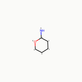 [NH]C1CCCCO1